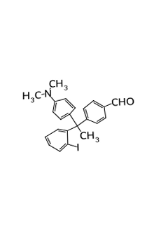 CN(C)c1ccc(C(C)(c2ccc(C=O)cc2)c2ccccc2I)cc1